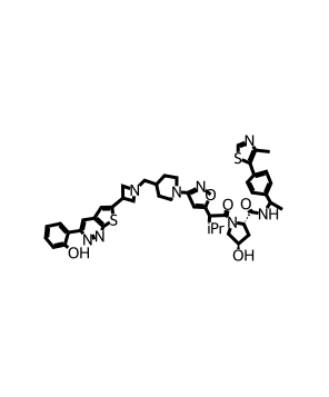 Cc1ncsc1-c1ccc(C(C)NC(=O)[C@@H]2C[C@@H](O)CN2C(=O)C(c2cc(N3CCC(CN4CC(c5cc6cc(-c7ccccc7O)nnc6s5)C4)CC3)no2)C(C)C)cc1